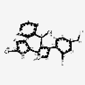 OC(c1cccnc1)c1c(-c2ccc(CI)cc2F)coc1-c1ccc(Cl)s1